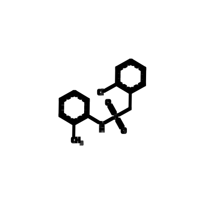 Cc1ccccc1NS(=O)(=O)Cc1ccccc1Cl